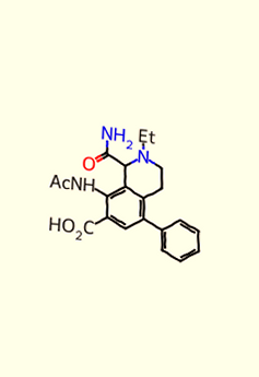 CCN1CCc2c(-c3ccccc3)cc(C(=O)O)c(NC(C)=O)c2C1C(N)=O